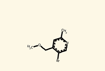 COCc1cc(C)ncc1Br